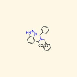 CCOC(=O)C(c1cccc2[nH]nnc12)N(Cc1ccccc1)Cc1ccccc1